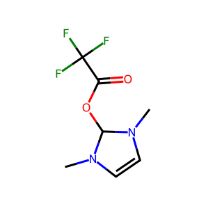 CN1C=CN(C)C1OC(=O)C(F)(F)F